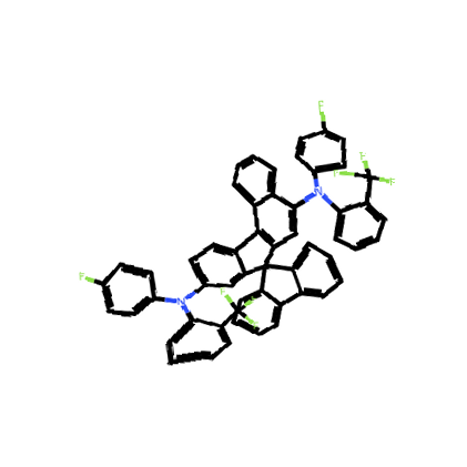 Fc1ccc(N(c2ccc3c(c2)C2(c4ccccc4-c4ccccc42)c2cc(N(c4ccc(F)cc4)c4ccccc4C(F)(F)F)c4ccccc4c2-3)c2ccccc2C(F)(F)F)cc1